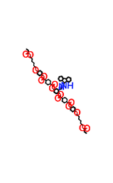 C=CC(=O)OCCCCCCOc1ccc(OC(=O)C2CCC(C(=O)Oc3ccc(OC(=O)C4CCC(C(=O)Oc5ccc(OCCCCCCOC(=O)C=C)cc5)CC4)c(/C=N/NC4c5ccccc5-c5ccccc54)c3)CC2)cc1